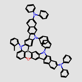 Cc1ccccc1N1c2cc3c4cc5ccc(N(c6ccccc6)c6ccccc6)cc5cc4n(-c4ccccc4)c3cc2B2c3cc4c(cc3Oc3cccc1c32)c1cc2ccc(N(c3ccccc3)c3ccccc3)cc2cc1n4-c1ccccc1